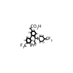 CC(C)CC[C@@H](c1ccc(CC(=O)O)cc1-c1ccc(C(F)(F)F)cc1)N1CCC(C(F)(F)F)CC1